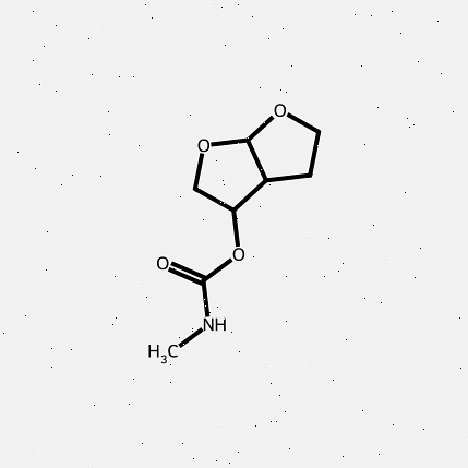 CNC(=O)OC1COC2OCCC12